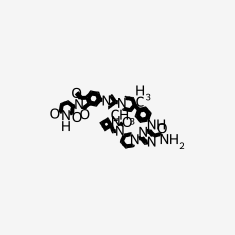 CN1C(=O)N(C2CCCN(c3cnc(C(N)=O)c(Nc4ccc(C5(C)CCN(C6CN(c7ccc8c(c7)C(=O)N(C7CCC(=O)NC7=O)C8=O)C6)CC5)cc4)n3)C2)CC12CCC2